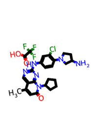 Cc1cc(=O)n(C2CCCC2)c2nc(Nc3ccc(N4CCC(N)C4)c(Cl)c3)ncc12.O=C(O)C(F)(F)F